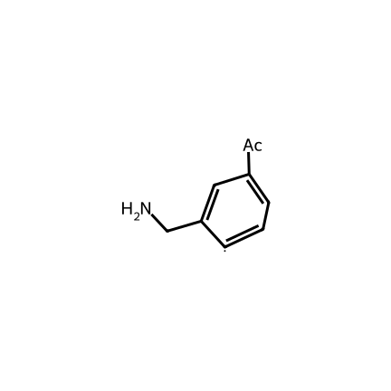 CC(=O)c1cc[c]c(CN)c1